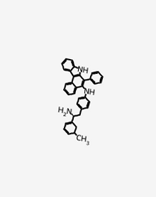 CC1C=CC=C([C@@H](N)Cc2ccc(Nc3c(-c4ccccc4)c4[nH]c5ccccc5c4c4ccccc34)cc2)C1